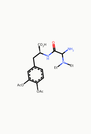 CCN(CC)C(N)C(=O)N[C@@H](Cc1ccc(OC(C)=O)c(OC(C)=O)c1)C(=O)O